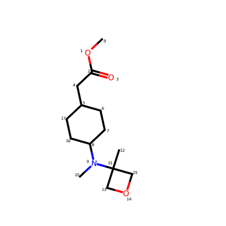 COC(=O)CC1CCC(N(C)C2(C)COC2)CC1